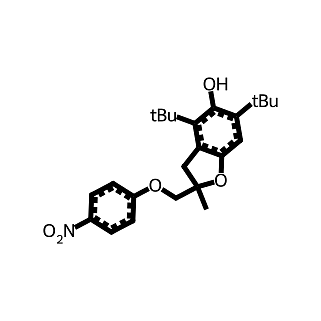 CC1(COc2ccc([N+](=O)[O-])cc2)Cc2c(cc(C(C)(C)C)c(O)c2C(C)(C)C)O1